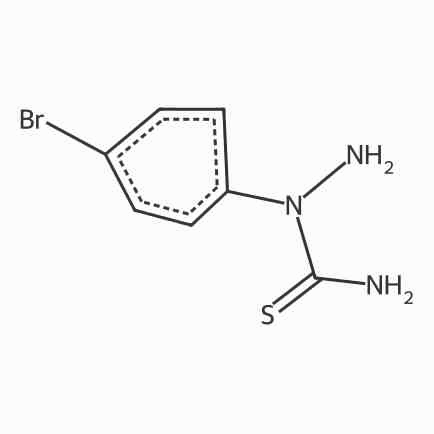 NC(=S)N(N)c1ccc(Br)cc1